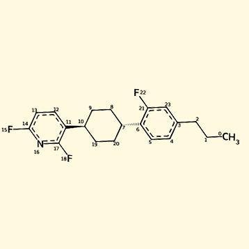 CCCc1ccc([C@H]2CC[C@H](c3ccc(F)nc3F)CC2)c(F)c1